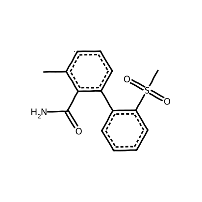 Cc1[c]ccc(-c2ccccc2S(C)(=O)=O)c1C(N)=O